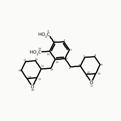 O=C(O)c1ccc(CC2CCCC3OC23)c(CC2CCCC3OC23)c1C(=O)O